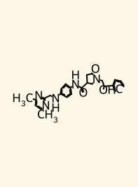 Cc1cc(C)nc(CNc2ccc(NC(=O)C3CC(=O)N(CC(O)c4ccccc4)C3)cc2)n1